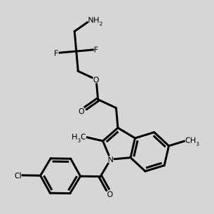 Cc1ccc2c(c1)c(CC(=O)OCC(F)(F)CN)c(C)n2C(=O)c1ccc(Cl)cc1